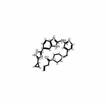 C=CCC(=O)N1CCN(Cc2ccnc(Nc3nc4ccc(-c5nc(C6CC6)no5)cc4[nH]3)c2)CC1